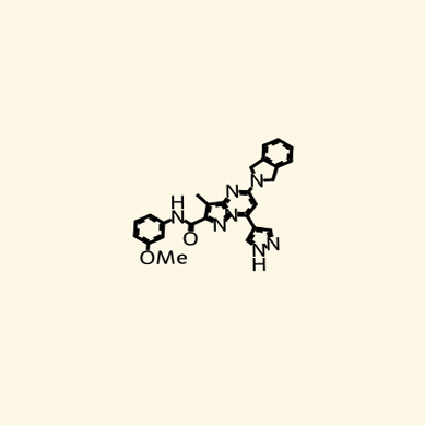 COc1cccc(NC(=O)c2nn3c(-c4cn[nH]c4)cc(N4Cc5ccccc5C4)nc3c2C)c1